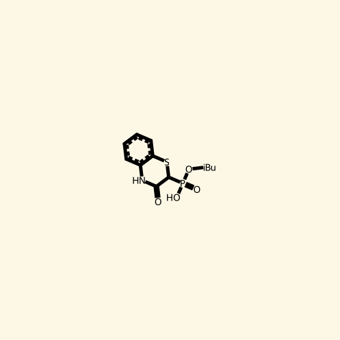 CCC(C)OP(=O)(O)C1Sc2ccccc2NC1=O